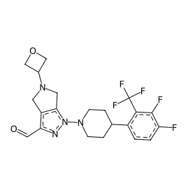 O=Cc1nn(N2CCC(c3ccc(F)c(F)c3C(F)(F)F)CC2)c2c1CN(C1COC1)C2